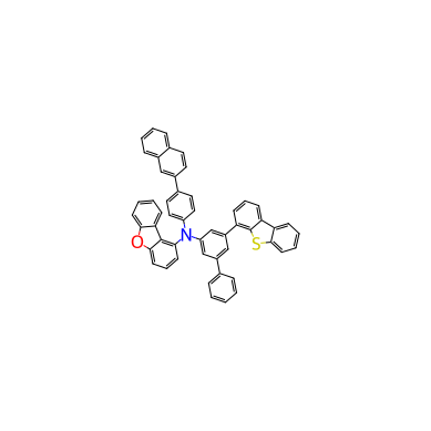 c1ccc(-c2cc(-c3cccc4c3sc3ccccc34)cc(N(c3ccc(-c4ccc5ccccc5c4)cc3)c3cccc4oc5ccccc5c34)c2)cc1